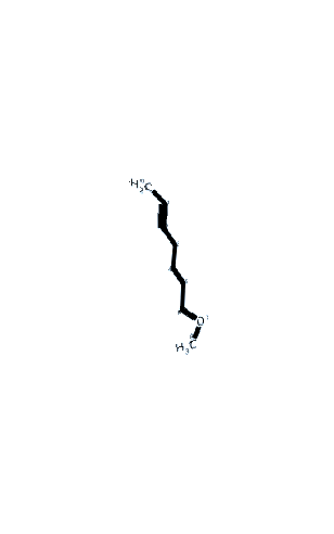 [CH2]/C=C/CCCCOC